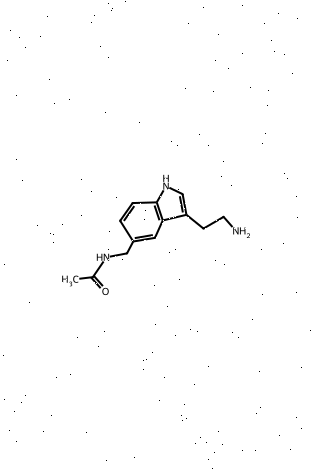 CC(=O)NCc1ccc2[nH]cc(CCN)c2c1